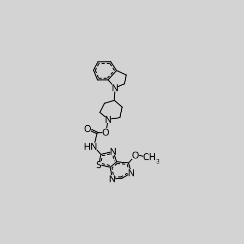 COc1ncnc2sc(NC(=O)ON3CCC(N4CCc5ccccc54)CC3)nc12